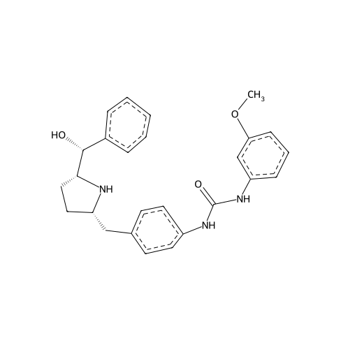 COc1cccc(NC(=O)Nc2ccc(C[C@@H]3CC[C@H]([C@H](O)c4ccccc4)N3)cc2)c1